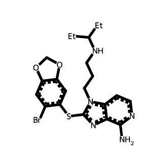 CCC(CC)NCCCn1c(Sc2cc3c(cc2Br)OCO3)nc2c(N)nccc21